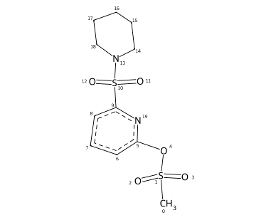 CS(=O)(=O)Oc1cccc(S(=O)(=O)N2CCCCC2)n1